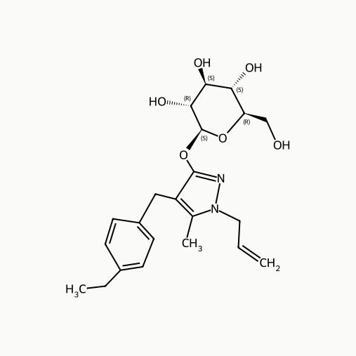 C=CCn1nc(O[C@@H]2O[C@H](CO)[C@@H](O)[C@H](O)[C@H]2O)c(Cc2ccc(CC)cc2)c1C